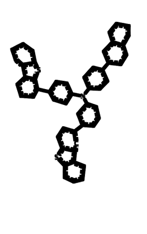 c1cc(-c2ccc3sc4ccccc4c3c2)cc(N(c2ccc(-c3ccc4ccccc4c3)cc2)c2ccc(-c3cccc4c3sc3ccccc34)cc2)c1